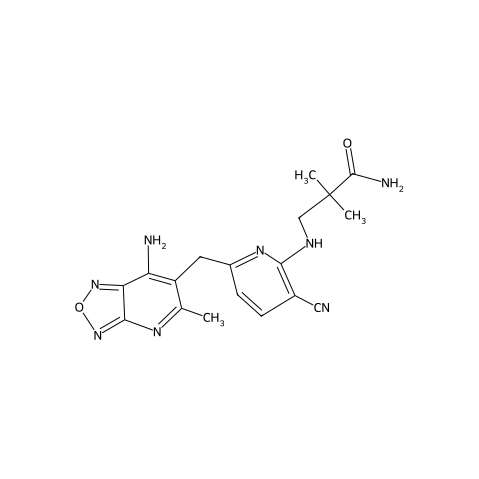 Cc1nc2nonc2c(N)c1Cc1ccc(C#N)c(NCC(C)(C)C(N)=O)n1